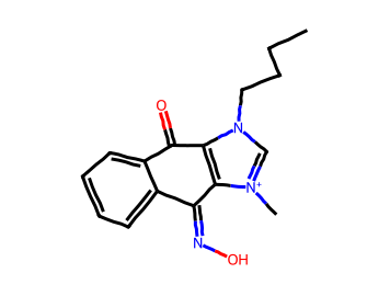 CCCCn1c[n+](C)c2c1C(=O)c1ccccc1/C2=N/O